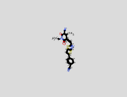 CCN1C(=O)C(C#N)=C(C)/C(=C/c2nc3sc(-c4ccc(C#N)cc4)cc3s2)C1=O